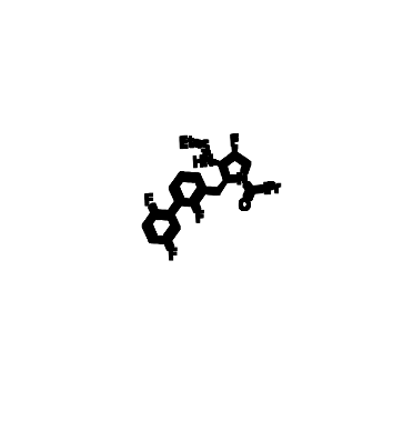 CCSN[C@H]1[C@@H](F)CN(C(=O)C(C)C)[C@H]1Cc1cccc(-c2cc(F)ccc2F)c1F